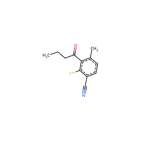 CCCC(=O)c1c(C)ccc(C#N)c1F